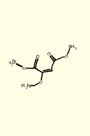 BOC(=O)/C=C(/ON)C(=O)OB